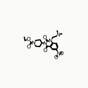 CCOC(=O)N1CCC(n2c(=O)c3cc([N+](=O)[O-])ccc3n(CCN(C)C)c2=O)CC1